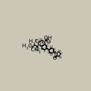 CC(C)CC(=O)N1c2ccc(-c3ccc(N4CCCC4=O)cc3)cc2N(C(=O)O)C[C@@H]1C